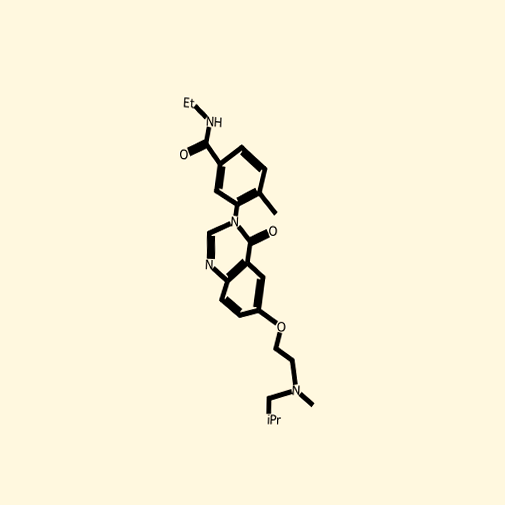 CCNC(=O)c1ccc(C)c(-n2cnc3ccc(OCCN(C)CC(C)C)cc3c2=O)c1